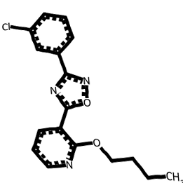 CCCCOc1ncccc1-c1nc(-c2cccc(Cl)c2)no1